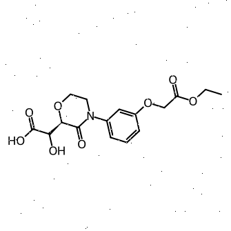 CCOC(=O)COc1cccc(N2CCO[C@H](C(O)C(=O)O)C2=O)c1